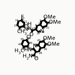 COc1cc2cc(C(=O)NNc3cc(F)ccc3C)cnc2cc1OC.COc1cc2cc(C(N)=O)c(Nc3cc(Cl)ccc3C)nc2cc1OC